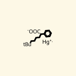 CC(C)(C)CCCCC(C(=O)[O-])c1ccccc1.[Hg+]